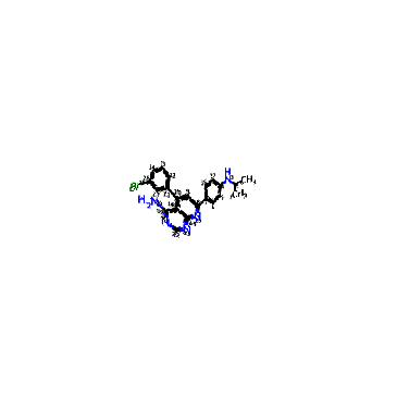 CC(C)Nc1ccc(-c2cc(-c3cccc(Br)c3)c3c(N)ncnc3n2)cc1